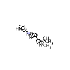 CNC1CC(/C=N/c2ncc3c(-c4cnc5nc(C)n(C(C)C)c5c4)ccn3n2)C1